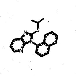 CC(C)Sc1nc2cccnc2n1-c1cccc2ccccc12